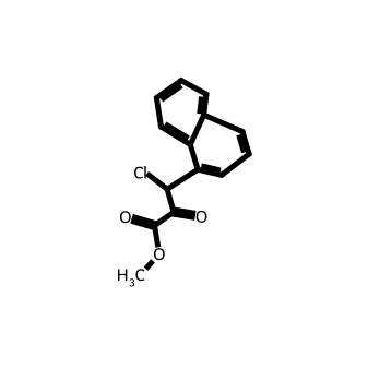 COC(=O)C(=O)C(Cl)c1cccc2ccccc12